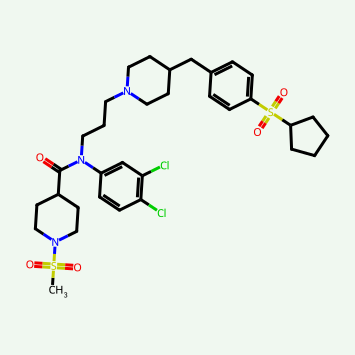 CS(=O)(=O)N1CCC(C(=O)N(CCCN2CCC(Cc3ccc(S(=O)(=O)C4CCCC4)cc3)CC2)c2ccc(Cl)c(Cl)c2)CC1